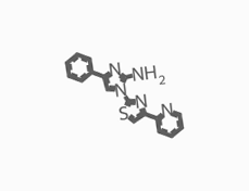 Nc1nc(-c2ccccc2)cn1-c1nc(-c2ccccn2)cs1